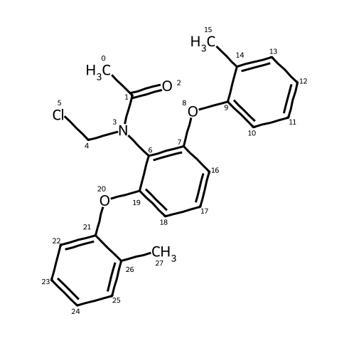 CC(=O)N(CCl)c1c(Oc2ccccc2C)cccc1Oc1ccccc1C